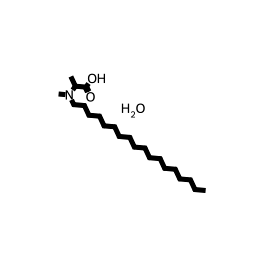 CCCCCCCCCCCCCCCCCCN(C)C(C)C(=O)O.O